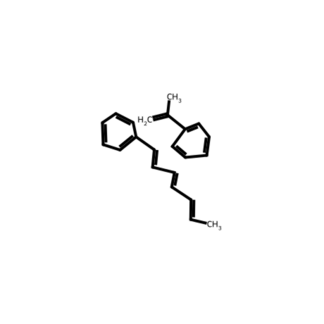 C=C(C)c1ccccc1.CC=CC=CC=Cc1ccccc1